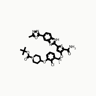 Cc1nnc(-c2ccc3[nH]c(-c4cc(O[C@H](C)c5cccc(OC6CCN(C(=O)OC(C)(C)C)CC6)c5Cl)c(C(N)=O)s4)nc3c2)o1